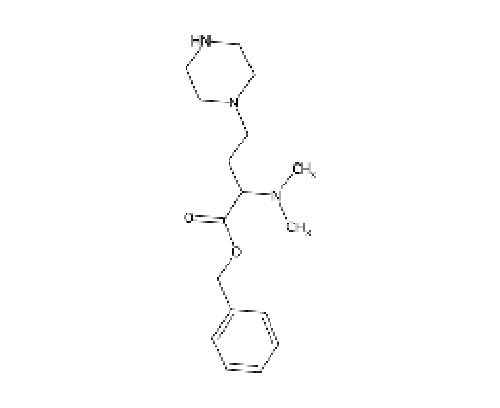 CN(C)C(CCN1CCNCC1)C(=O)OCc1ccccc1